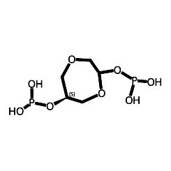 OP(O)OC1COC[C@H](OP(O)O)CO1